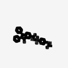 CC(=O)Nc1ccc(S(=O)(=O)NC(=O)c2ccc3c(c2)c(=O)n(-c2ccccc2)n3-c2ccccc2)cc1